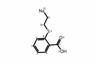 O=C(O)c1ccccc1SC[CH2][Na]